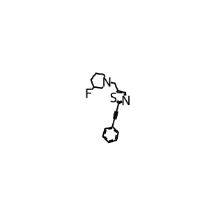 FC1CCCN(Cc2cnc(C#Cc3ccccc3)s2)C1